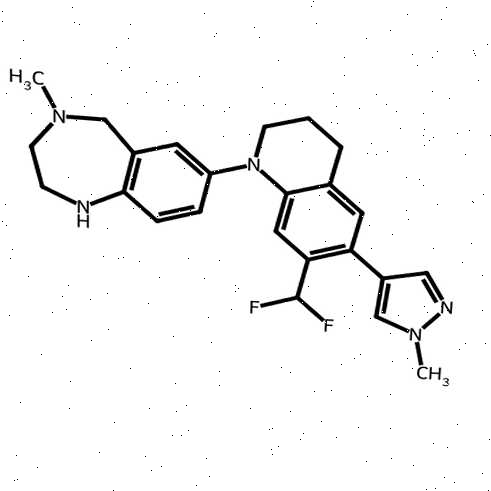 CN1CCNc2ccc(N3CCCc4cc(-c5cnn(C)c5)c(C(F)F)cc43)cc2C1